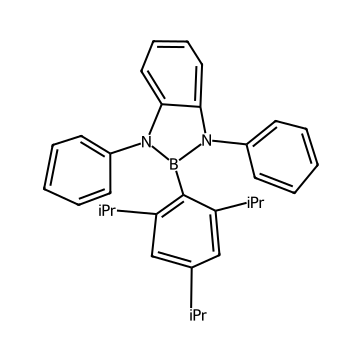 CC(C)c1cc(C(C)C)c(B2N(c3ccccc3)c3ccccc3N2c2ccccc2)c(C(C)C)c1